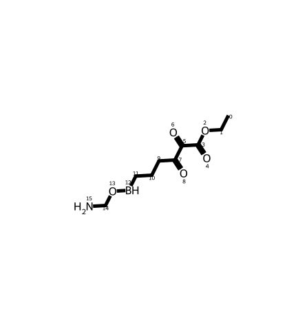 CCOC(=O)C(=O)C(=O)CCCBOCN